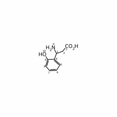 NC(CC(=O)O)c1ccccc1O